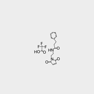 O=C(CCc1ccccc1)NCCN1C(=O)C=CC1=O.O=C(O)C(F)(F)F